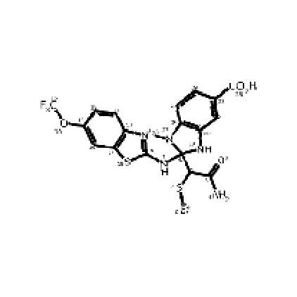 CCSC(C(N)=O)C1(Nc2nc3ccc(OC(F)(F)F)cc3s2)Nc2cc(C(=O)O)ccc2N1C